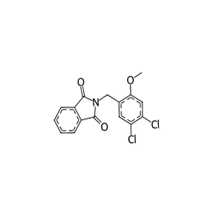 COc1cc(Cl)c(Cl)cc1CN1C(=O)c2ccccc2C1=O